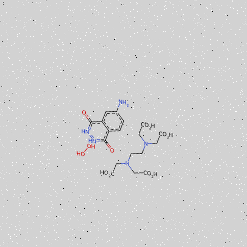 Nc1ccc2c(=O)[nH][nH]c(=O)c2c1.O=C(O)CN(CCN(CC(=O)O)CC(=O)O)CC(=O)O.OO